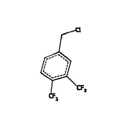 FC(F)(F)c1ccc(CCl)cc1C(F)(F)F